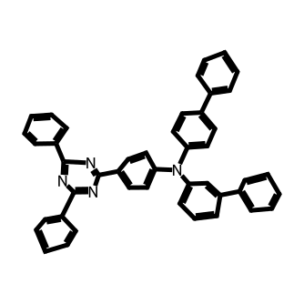 c1ccc(-c2ccc(N(c3ccc(-c4nc(-c5ccccc5)nc(-c5ccccc5)n4)cc3)c3cccc(-c4ccccc4)c3)cc2)cc1